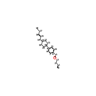 C=CCCOCc1ccc(C2CCC(C/C=C/CC)CC2)cc1